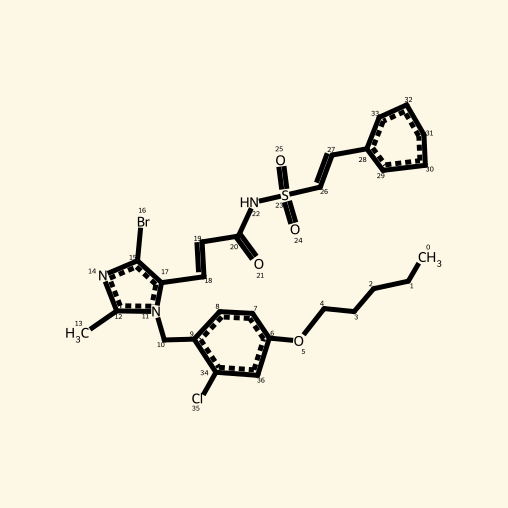 CCCCCOc1ccc(Cn2c(C)nc(Br)c2/C=C/C(=O)NS(=O)(=O)/C=C/c2ccccc2)c(Cl)c1